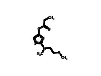 CCC(=O)Oc1csc(N(C)CCSC)n1